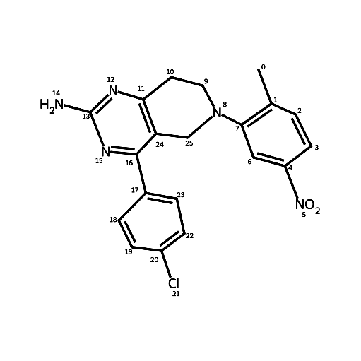 Cc1ccc([N+](=O)[O-])cc1N1CCc2nc(N)nc(-c3ccc(Cl)cc3)c2C1